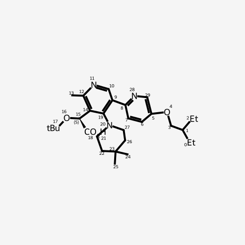 CCC(CC)COc1ccc(-c2cnc(C)c([C@H](OC(C)(C)C)C(=O)O)c2N2CCC(C)(C)CC2)nc1